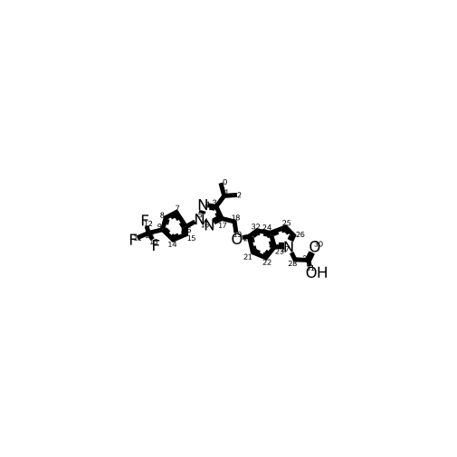 CC(C)c1nn(-c2ccc(C(F)(F)F)cc2)nc1COc1ccc2c(ccn2CC(=O)O)c1